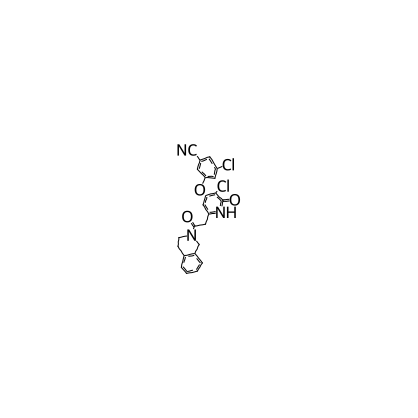 N#Cc1cc(Cl)cc(Oc2cc(CC(=O)N3CCc4ccccc4C3)[nH]c(=O)c2Cl)c1